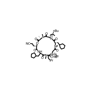 CCCC[C@@H](C)C[C@@H]1NC(=O)[C@H](CC2CCCCC2)N(C)C(=O)[C@H](CC(C)C)NC(C=O)(CC(C)C)N(C)C(=O)C(CC2CCCC2)NC(=O)[C@@H](CCC#N)OC(=O)[C@H](C)N(C)C1=O